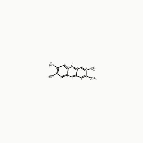 Cc1cc2cc3nc(O)c(O)cc3nc2cc1O